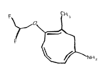 CC1=C(OC(F)F)C=CC=C(N)C1